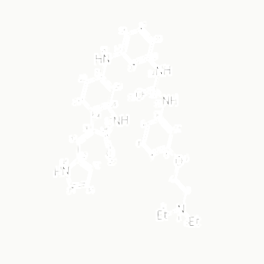 CCN(CC)CCOc1cccc(NC(=O)Nc2cccc(Nc3ccc4c(c3)NC(=O)/C4=C\c3ccc[nH]3)c2)c1